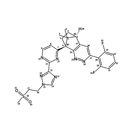 CC1(C)[C@H]2CC[C@@]1(c1ccnc(-c3ncn(CCS(C)(=O)=O)n3)n1)c1nnc(-c3c(F)cccc3F)cc12